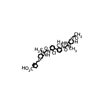 Cc1c(NC(=O)c2nc3c(n2C)CCN(C[C@H](C)O)C3)cccc1-c1cccc(NC(=O)c2nc3c(n2C)CCN(CCC24CCC(C(=O)O)(CC2)C4)C3)c1Cl